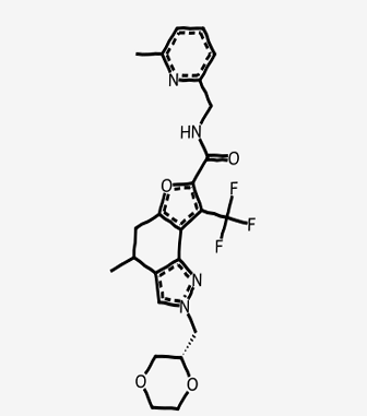 Cc1cccc(CNC(=O)c2oc3c(c2C(F)(F)F)-c2nn(C[C@H]4COCCO4)cc2C(C)C3)n1